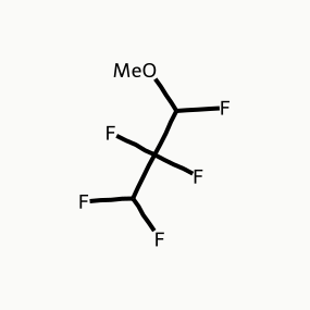 COC(F)C(F)(F)C(F)F